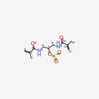 C=C(C)C(=O)NCC(CNC(=O)C(=C)C)O[SH](=O)=O